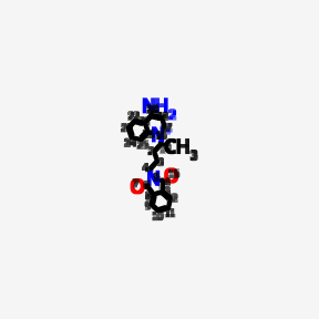 CC(CCCN1C(=O)c2ccccc2C1=O)[n+]1ccc(N)c2ccccc21